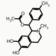 CC(=O)OC(c1ccc(C)cc1)C1c2cc(O)c(O)cc2CCN1C